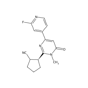 Cn1c([C@H]2CCCC2C#N)nc(-c2ccnc(F)c2)cc1=O